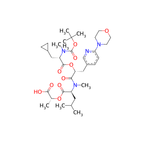 CC(C)C[C@@H](C(=O)O[C@H](C)C(=O)O)N(C)C(=O)[C@@H](Cc1ccc(N2CCOCC2)nc1)OC(=O)[C@H](CC1CC1)N(C)C(=O)OC(C)(C)C